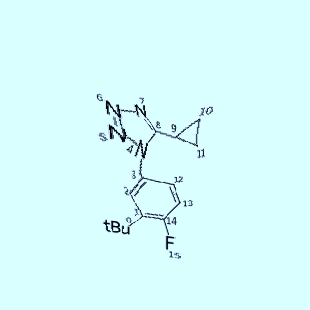 CC(C)(C)c1cc(-n2nnnc2C2CC2)ccc1F